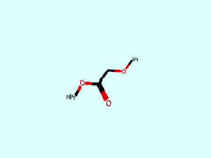 CCCOC(=O)COC(C)C